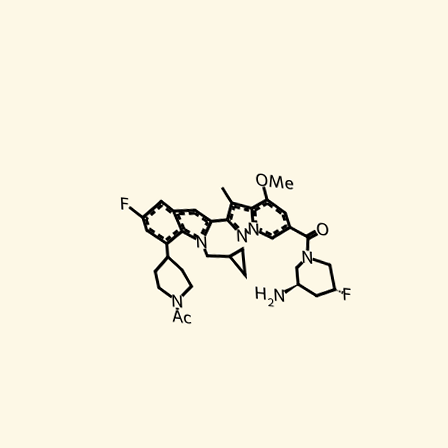 COc1cc(C(=O)N2C[C@H](N)C[C@@H](F)C2)cn2nc(-c3cc4cc(F)cc(C5CCN(C(C)=O)CC5)c4n3CC3CC3)c(C)c12